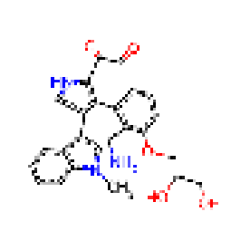 Cn1cc(-c2c[nH]c(C(=O)C=O)c2-c2cccc(OCC(O)CO)c2CN)c2ccccc21